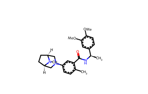 COc1ccc([C@@H](C)NC(=O)c2cc(N3C[C@H]4CC[C@@H](C3)N4C)ccc2C)cc1OC